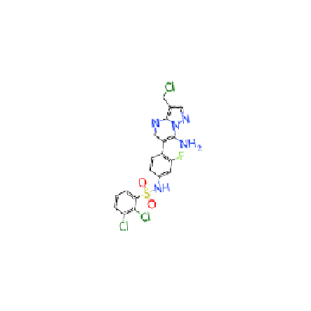 Nc1c(-c2ccc(NS(=O)(=O)c3cccc(Cl)c3Cl)cc2F)cnc2c(CCl)cnn12